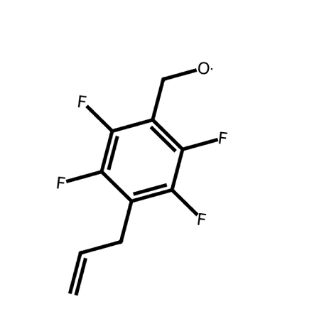 C=CCc1c(F)c(F)c(C[O])c(F)c1F